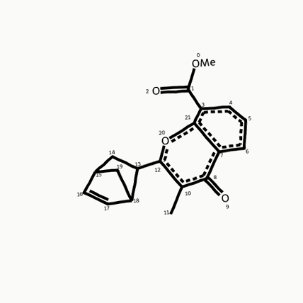 COC(=O)c1cccc2c(=O)c(C)c(C3CC4C=CC3C4)oc12